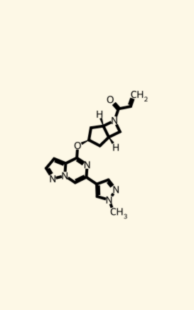 C=CC(=O)N1C[C@@H]2C[C@@H](Oc3nc(-c4cnn(C)c4)cn4nccc34)C[C@@H]21